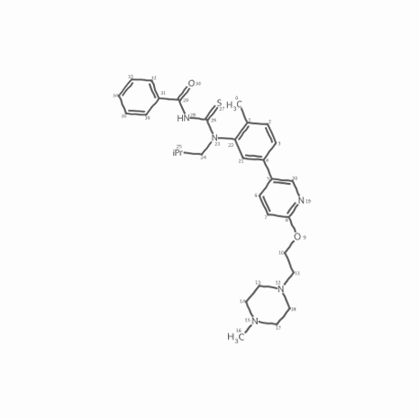 Cc1ccc(-c2ccc(OCCN3CCN(C)CC3)nc2)cc1N(CC(C)C)C(=S)NC(=O)c1ccccc1